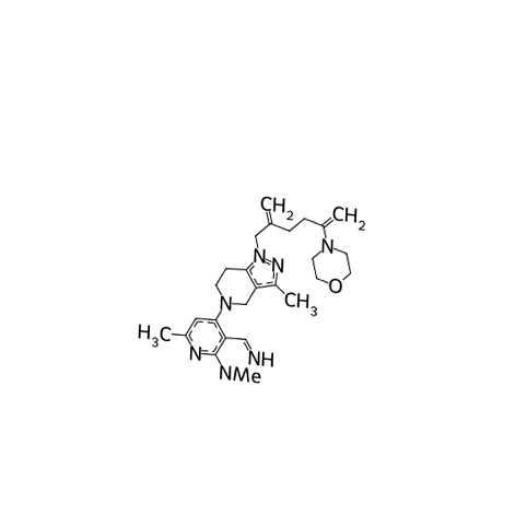 C=C(CCC(=C)N1CCOCC1)Cn1nc(C)c2c1CCN(c1cc(C)nc(NC)c1C=N)C2